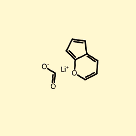 O=C[O-].[Li+].c1coc2cccc-2c1